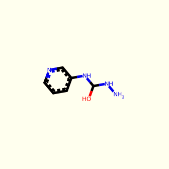 NNC(O)Nc1cccnc1